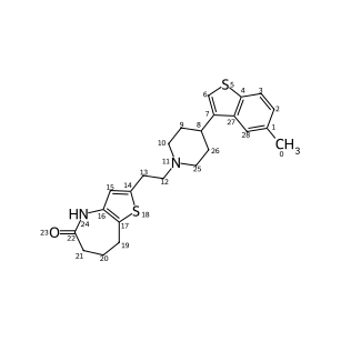 Cc1ccc2scc(C3CCN(CCc4cc5c(s4)CCCC(=O)N5)CC3)c2c1